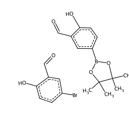 CC1(C)OB(c2ccc(O)c(C=O)c2)OC1(C)C.O=Cc1cc(Br)ccc1O